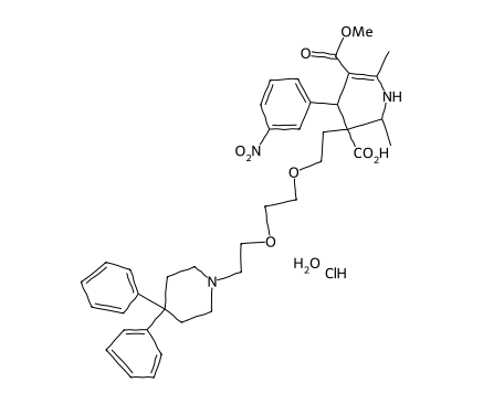 COC(=O)C1=C(C)NC(C)C(CCOCCOCCN2CCC(c3ccccc3)(c3ccccc3)CC2)(C(=O)O)C1c1cccc([N+](=O)[O-])c1.Cl.O